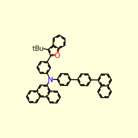 CC(C)(C)c1c(-c2cccc(N(c3ccc(-c4ccc(-c5cccc6ccccc56)cc4)cc3)c3cc4ccccc4c4ccccc34)c2)oc2ccccc12